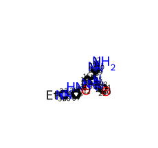 CCN1CCN(c2cccc(NC(=O)N3CCc4c(-c5cnc(N)nc5)nc(N5CCOCC5)nc43)c2)CC1